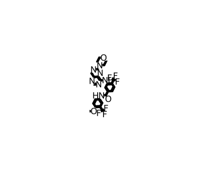 COc1ccc(NC(=O)c2ccc(C(F)(F)F)c(Nc3ncnc4cnc(N5CCOCC5)nc34)c2)cc1C(F)(F)F